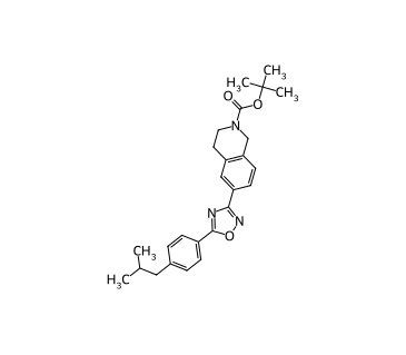 CC(C)Cc1ccc(-c2nc(-c3ccc4c(c3)CCN(C(=O)OC(C)(C)C)C4)no2)cc1